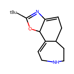 CC(C)(C)C1=NC2=CCC3CCNCC=C3C2O1